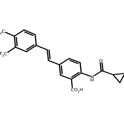 O=C(O)c1cc(C=Cc2ccc(C(F)(F)F)c(C(F)(F)F)c2)ccc1NC(=O)C1CC1